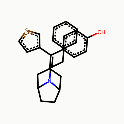 Oc1ccc(C(=C2CC3CCC(C2)N3CCc2ccccc2)c2ccsc2)cc1